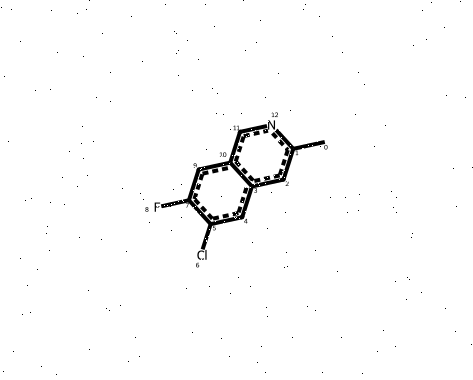 Cc1cc2cc(Cl)c(F)cc2cn1